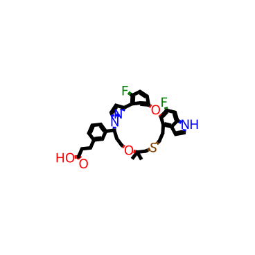 CC1(C)CSCCc2c(c(F)cc3[nH]ccc23)Oc2ccc(F)c(c2)-c2ccn(n2)C(c2cccc(CCC(=O)O)c2)CCO1